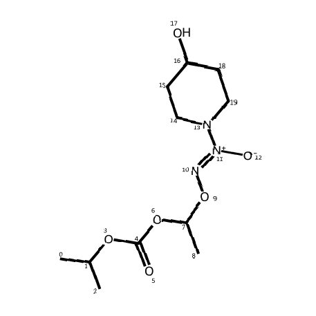 CC(C)OC(=O)OC(C)ON=[N+]([O-])N1CCC(O)CC1